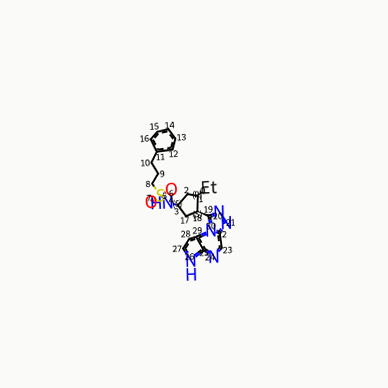 CC[C@@H]1C[C@H](NS(=O)(=O)CCCc2ccccc2)C[C@@H]1c1nnc2cnc3[nH]ccc3n12